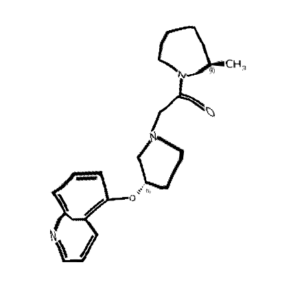 C[C@@H]1CCCN1C(=O)CN1CC[C@H](Oc2cccc3ncccc23)C1